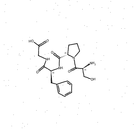 N[C@@H](CO)C(=O)N1CCC[C@H]1C(=O)N[C@@H](Cc1ccccc1)C(=O)NCC(=O)O